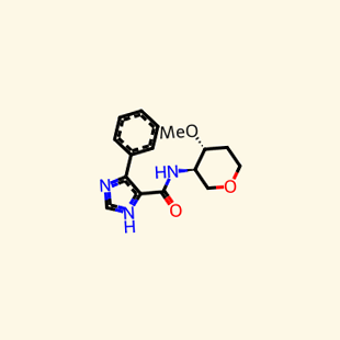 CO[C@@H]1CCOC[C@H]1NC(=O)c1[nH]cnc1-c1ccccc1